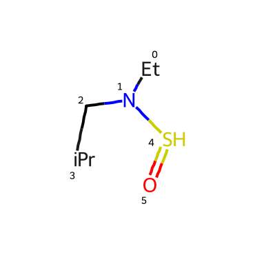 CCN(CC(C)C)[SH]=O